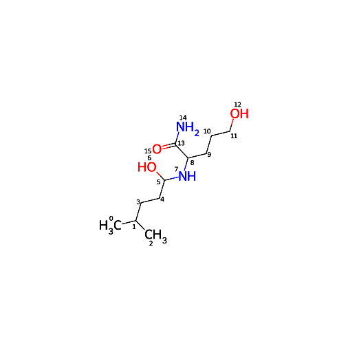 CC(C)CCC(O)NC(CCCO)C(N)=O